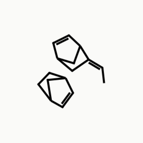 C1=CC2CCC1C2.CC=C1CC2C=CC1C2